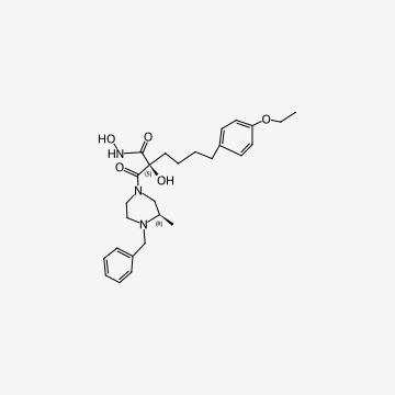 CCOc1ccc(CCCC[C@@](O)(C(=O)NO)C(=O)N2CCN(Cc3ccccc3)[C@H](C)C2)cc1